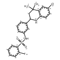 CC1(C)CC(c2cccc(NS(=O)(=O)c3ccccc3F)c2)Nc2ccc(Cl)cc21